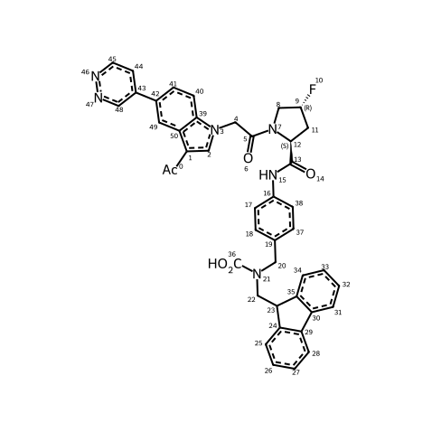 CC(=O)c1cn(CC(=O)N2C[C@H](F)C[C@H]2C(=O)Nc2ccc(CN(CC3c4ccccc4-c4ccccc43)C(=O)O)cc2)c2ccc(-c3ccnnc3)cc12